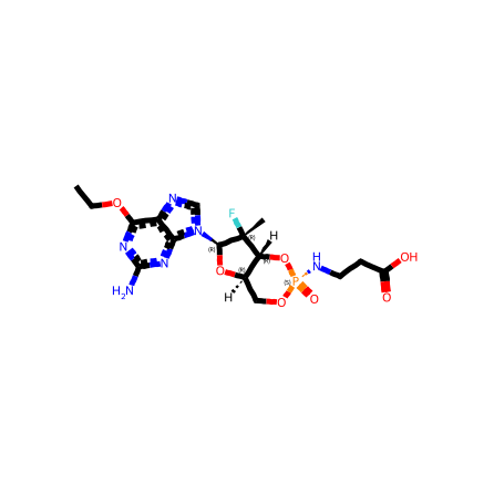 CCOc1nc(N)nc2c1ncn2[C@@H]1O[C@@H]2CO[P@@](=O)(NCCC(=O)O)O[C@H]2[C@@]1(C)F